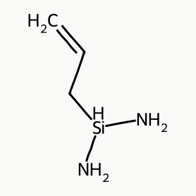 C=CC[SiH](N)N